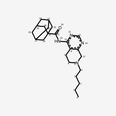 CCCCCN1CCc2c(ncnc2NC(=O)C23CC4CC(CC(C4)C2)C3)C1